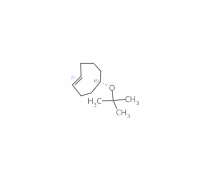 CC(C)(C)O[C@@H]1CC/C=C/CCC1